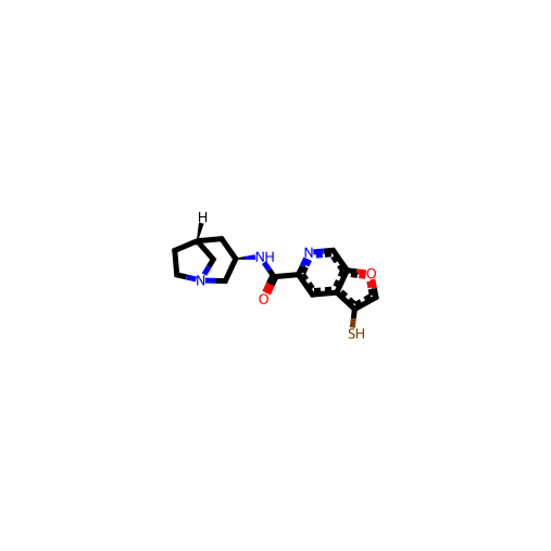 O=C(N[C@@H]1C[C@H]2CCN(C2)C1)c1cc2c(S)coc2cn1